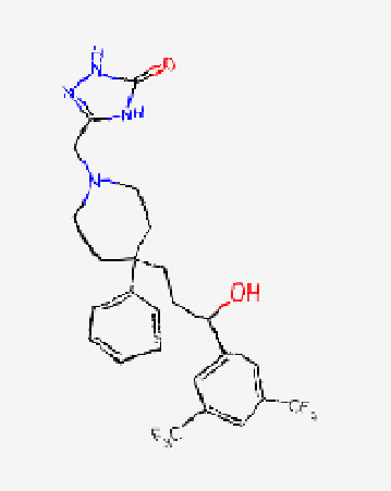 O=c1[nH]nc(CN2CCC(CCC(O)c3cc(C(F)(F)F)cc(C(F)(F)F)c3)(c3ccccc3)CC2)[nH]1